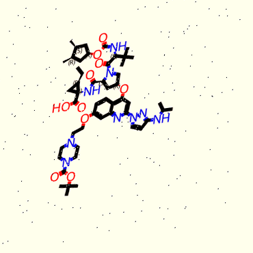 CC[C@@H]1C[C@]1(NC(=O)[C@@H]1C[C@@H](Oc2cc(-n3ccc(NC(C)C)n3)nc3cc(OCCN4CCN(C(=O)OC(C)(C)C)CC4)ccc23)CN1C(=O)[C@@H](NC(=O)O[C@H]1C[C@@H](C)[C@@H](C)C1)C(C)(C)C)C(=O)O